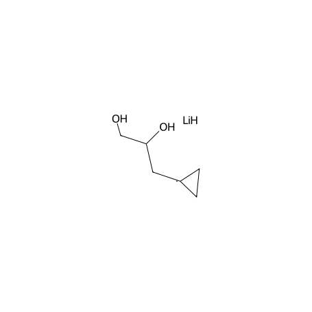 OCC(O)C[C]1CC1.[LiH]